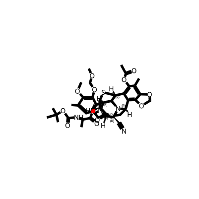 COCOc1c(OC)c(C)cc2c1[C@@H]1C3[C@@H]4SC[C@H](NC(=O)C(C)NC(=O)OC(C)(C)C)C(=O)OC[C@@H](c5c6c(c(C)c(OC(C)=O)c54)OCO6)N3[C@@H](C#N)[C@H](C2)N1C